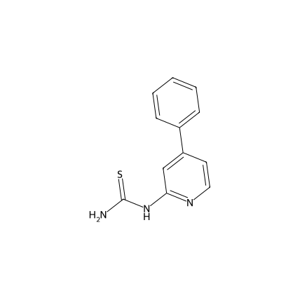 NC(=S)Nc1cc(-c2ccccc2)ccn1